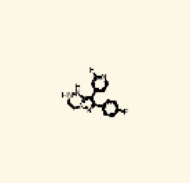 Fc1ccc(-c2nn3c(c2-c2ccnc(F)c2)NNCC3)cc1